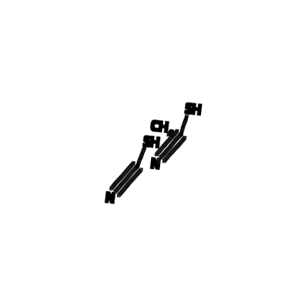 C.N#CS.N#CS